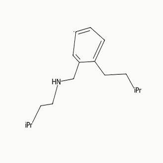 CC(C)CCNCc1c[c]ccc1CCC(C)C